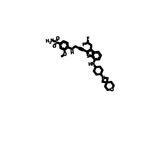 COc1cc(S(N)(=O)=O)ccc1NCC#Cc1sc2c(NC3CCC(N4CC5(CCOCC5)C4)CC3)cccc2c1CC(F)F